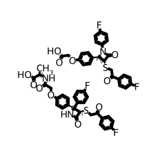 C[C@@H](NC(=O)COc1ccc([C@]2(c3ccc(F)cc3)NC(=O)[C@@H]2SCC(=O)c2ccc(F)cc2)cc1)C(=O)O.O=C(O)COc1ccc([C@@H]2[C@@H](SCC(=O)c3ccc(F)cc3)C(=O)N2c2ccc(F)cc2)cc1